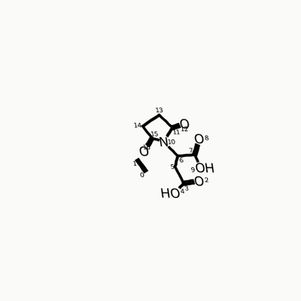 C=C.O=C(O)CC(C(=O)O)N1C(=O)CCC1=O